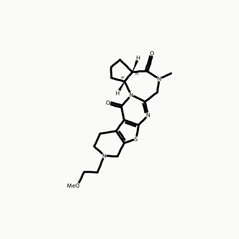 COCCN1CCc2c(sc3nc4n(c(=O)c23)[C@@H]2CCC[C@@H]2C(=O)N(C)C4)C1